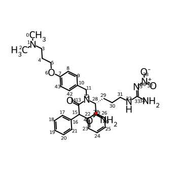 CN(C)CCCOc1ccc(CN(C(=O)C(c2ccccc2)c2ccccc2)[C@H](CCCNC(N)=N[N+](=O)[O-])C(N)=O)cc1